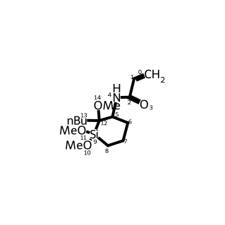 C=CC(=O)NC1CCC[Si](OC)(OC)C1(CCCC)OC